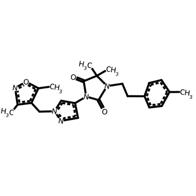 Cc1ccc(CCN2C(=O)N(c3cnn(Cc4c(C)noc4C)c3)C(=O)C2(C)C)cc1